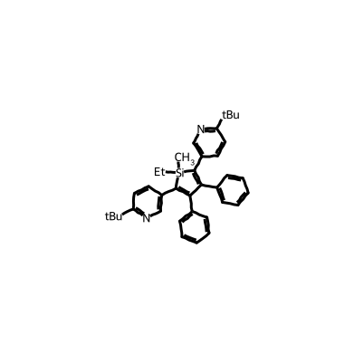 CC[Si]1(C)C(c2ccc(C(C)(C)C)nc2)=C(c2ccccc2)C(c2ccccc2)=C1c1ccc(C(C)(C)C)nc1